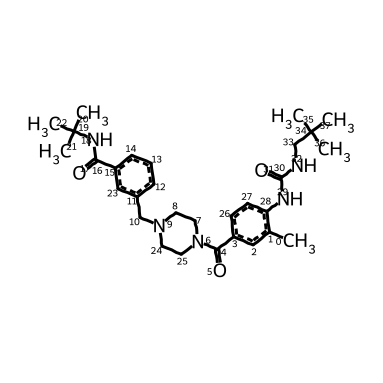 Cc1cc(C(=O)N2CCN(Cc3cccc(C(=O)NC(C)(C)C)c3)CC2)ccc1NC(=O)NCC(C)(C)C